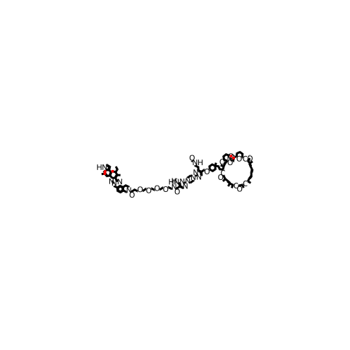 CCC(C)/C(C)=C1\C(/C(C=C(C)C)=C/c2cc[nH]c2C)=NN(Cc2ccc3c(c2)CCN(C(=O)CCOCCOCCOCCOCCNC(=O)c2cnc(N4CCN(c5ncc(COC6CCC(C)(CCC7CC(=O)C(C)/C=C(\C)C(C)CC(=O)C(C)CC(C)/C=C/C=C/C=C(\C)C(OC)CC8CCC[C@](C(=O)C=O)(O8)ON8CCCCC8C(=O)C7C)CC6)c(CCNC=O)n5)CC4)nc2NC)C3)\C1=N\C